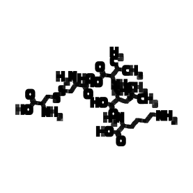 CC(C)C(N)C(=O)O.CC(C)CC(N)C(=O)O.NC(CSSCC(N)C(=O)O)C(=O)O.NCCCCC(N)C(=O)O